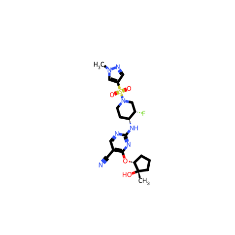 Cn1cc(S(=O)(=O)N2CC[C@@H](Nc3ncc(C#N)c(O[C@@H]4CCC[C@]4(C)O)n3)[C@@H](F)C2)cn1